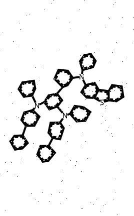 c1ccc(-c2ccc(N(c3ccccc3)c3cc(-c4cccc(N(c5ccccc5)c5ccc6sc7ccccc7c6c5)c4)cc(N(c4ccccc4)c4ccc(-c5ccccc5)cc4)c3)cc2)cc1